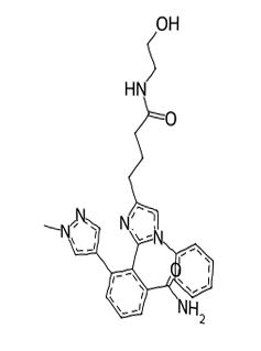 Cn1cc(-c2cccc(C(N)=O)c2-c2nc(CCCC(=O)NCCO)cn2-c2ccccc2)cn1